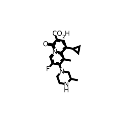 Cc1c(N2CCNC(C)C2)c(F)cn2c(=O)c(C(=O)O)cc(C3CC3)c12